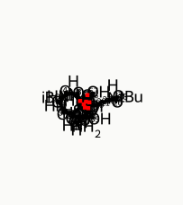 CCC(C)C1NC(=O)CNC(=O)C2Cc3c([nH]c4cc(OCCCCCCNC(=O)OC(C)(C)C)ccc34)SCC(NC(=O)CNC1=O)C(=O)N[C@@H](CC(N)=O)C(=O)N1CC(O)CC1C(=O)NC([C@@H](C)[C@@H](O)CO)C(=O)N2